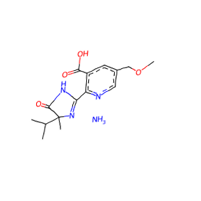 COCc1cnc(C2=NC(C)(C(C)C)C(=O)N2)c(C(=O)O)c1.N